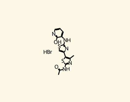 Br.CC(=O)Nc1nc(C)c(-c2csc(Nc3cccnc3O)n2)s1